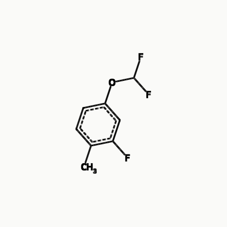 Cc1ccc(OC(F)F)cc1F